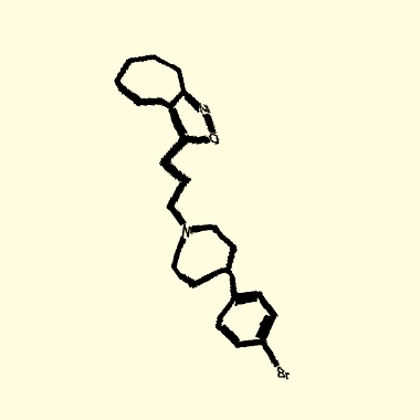 Brc1ccc(C2CCN(CCCc3onc4c3CCCCC4)CC2)cc1